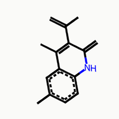 C=C(C)C1=C(C)c2cc(C)ccc2NC1=C